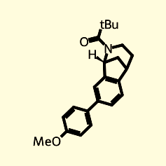 COc1ccc(-c2ccc3c(c2)[C@H]2CC3CCN2C(=O)C(C)(C)C)cc1